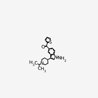 CC(C)N1CCC(c2cn(N)c3ccc(C(=O)c4cccs4)cc23)CC1